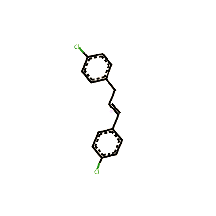 Clc1ccc([CH]/C=C/c2ccc(Cl)cc2)cc1